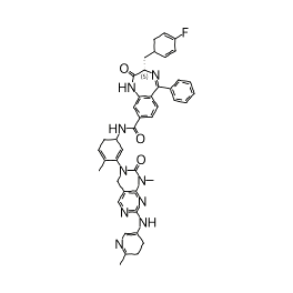 CC1=CCC(NC(=O)c2ccc3c(c2)NC(=O)[C@H](CC2C=CC(F)=CC2)N=C3c2ccccc2)C=C1N1Cc2cnc(NC3=CN=C(C)CC3)nc2N(C)C1=O